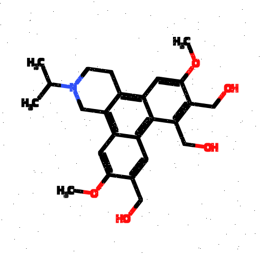 COc1cc2c3c(c4cc(OC)c(CO)c(CO)c4c2cc1CO)CCN(C(C)C)C3